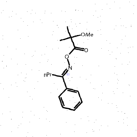 CCC/C(=N\OC(=O)C(C)(C)OC)c1ccccc1